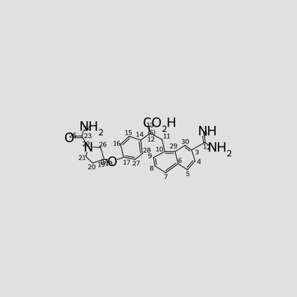 N=C(N)c1ccc2cccc(C[C@H](C(=O)O)c3ccc(O[C@H]4CCN(C(N)=O)C4)cc3)c2c1